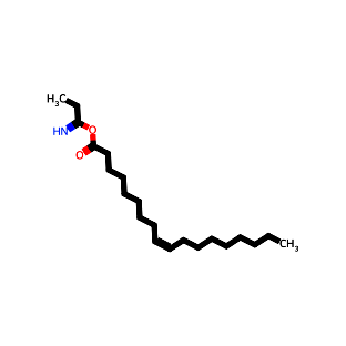 CCCCCCCC/C=C\CCCCCCCC(=O)OC(=N)CC